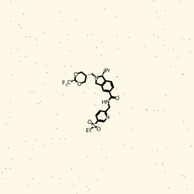 CCS(=O)(=O)c1ccc(CNC(=O)c2ccc3c(c2)CN(C[C@H]2CO[C@H](C(F)(F)F)OC2)[C@H]3C(C)C)nc1